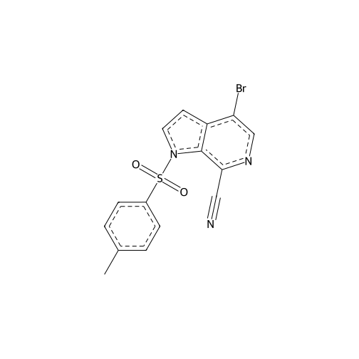 Cc1ccc(S(=O)(=O)n2ccc3c(Br)cnc(C#N)c32)cc1